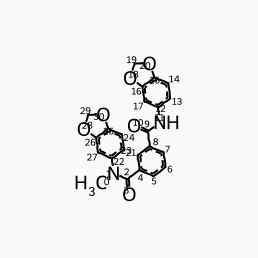 CN(C(=O)c1cccc(C(=O)Nc2ccc3c(c2)OCO3)c1)c1ccc2c(c1)OCO2